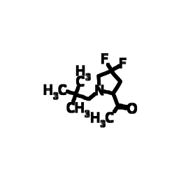 CC(=O)C1CC(F)(F)CN1CC(C)(C)C